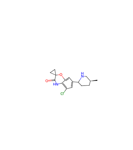 C[C@H]1CCC(c2cc(Cl)c3c(c2)OC2(CC2)C(=O)N3)NC1